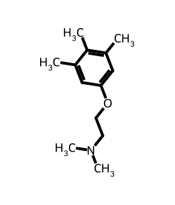 Cc1cc(OCCN(C)C)cc(C)c1C